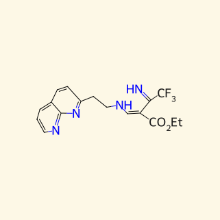 CCOC(=O)/C(=C/NCCc1ccc2cccnc2n1)C(=N)C(F)(F)F